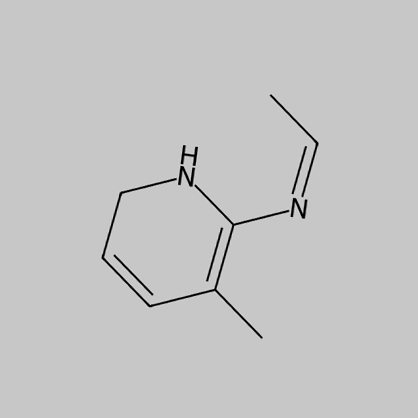 C/C=N\C1=C(C)C=CCN1